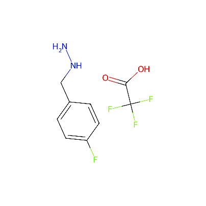 NNCc1ccc(F)cc1.O=C(O)C(F)(F)F